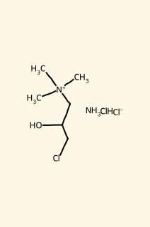 C[N+](C)(C)CC(O)CCl.Cl.N.[Cl-]